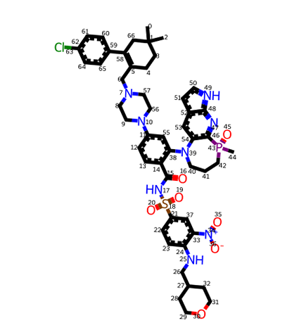 CC1(C)CCC(CN2CCN(c3ccc(C(=O)NS(=O)(=O)c4ccc(NCC5CCOCC5)c([N+](=O)[O-])c4)c(N4CCCP(C)(=O)c5nc6[nH]ccc6cc54)c3)CC2)=C(c2ccc(Cl)cc2)C1